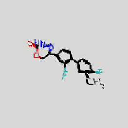 Cc1cc(-c2ccc(C3=NNC(=O)OC3)cc2F)ccc1F